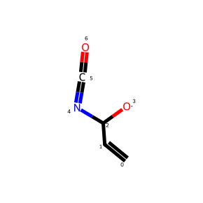 C=CC([O])N=C=O